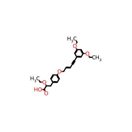 CCOc1cc(C#CC=CCOc2ccc(CC(OCC)C(=O)O)cc2)cc(OCC)c1